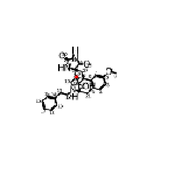 COc1ccc2c(c1)[C@]13CCN(CCc4ccccc4)[C@H](C2)[C@]1(O)CC[C@@]1(C3)NC(=O)NC1=O